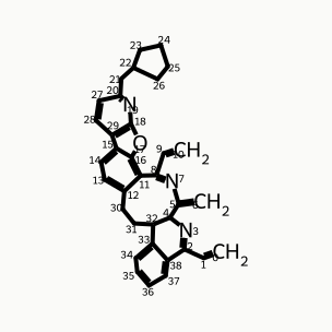 C=CC1=NC2C(=C)/N=C(/C=C)c3c(ccc4c3oc3nc(CC5CCCC5)ccc34)CCC2c2ccccc21